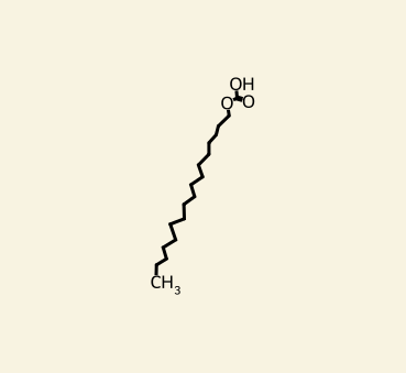 CCCCCCCCCCCCCCCCCOC(=O)O